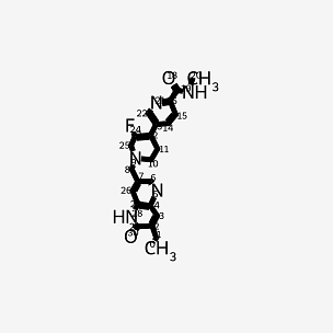 CCc1cc2ncc(CN3CCC(c4ccc(C(=O)NC)nc4)=C(F)C3)cc2[nH]c1=O